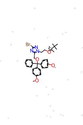 COc1ccc(C(OCc2nc(Br)nn2CCO[Si](C)(C)C(C)(C)C)(c2ccccc2)c2ccc(OC)cc2)cc1